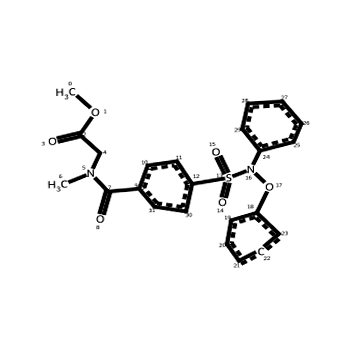 COC(=O)CN(C)C(=O)c1ccc(S(=O)(=O)N(Oc2ccccc2)c2ccccc2)cc1